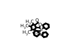 Cc1c(C)c(C)c2c(c1C)C(=O)OC2[PH](c1ccccc1)(c1ccccc1)c1ccccc1